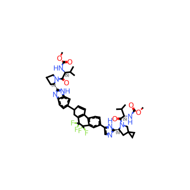 COC(=O)N[C@H](C(=O)N1CC2(CC2)C[C@H]1c1ncc(-c2ccc3c(c2)C(F)(F)C(F)(F)C2=C3C=CC(c3ccc4nc([C@@H]5CCCN5C(=O)[C@@H](NC(=O)OC)C(C)C)[nH]c4c3)C2)[nH]1)C(C)C